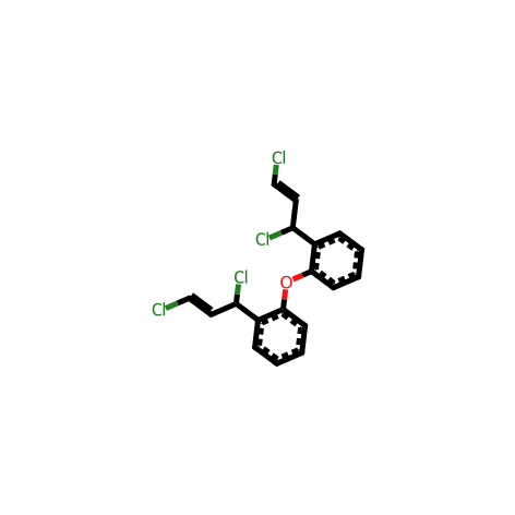 ClC=CC(Cl)c1ccccc1Oc1ccccc1C(Cl)C=CCl